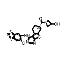 O=C([C@H]1CCc2c(sc3ncnc(Nc4cc5snnc5cc4Cl)c23)C1)N1CC(O)C1